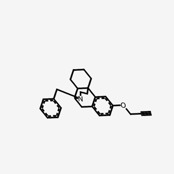 C#CCOc1ccc2c(c1)C13CCCCC1C(C2)N(Cc1ccccc1)CC3